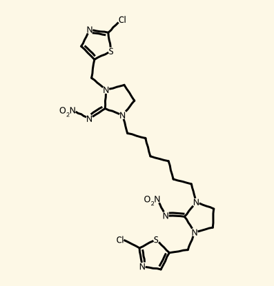 O=[N+]([O-])N=C1N(CCCCCCN2CCN(Cc3cnc(Cl)s3)C2=N[N+](=O)[O-])CCN1Cc1cnc(Cl)s1